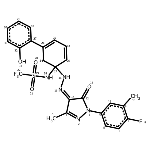 CC1=NN(c2ccc(F)c(C)c2)C(=O)/C1=N\NC1(NS(=O)(=O)C(F)(F)F)C=CC=C(c2ccccc2O)C1